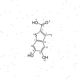 Cc1c(C(=O)O)sc2cc(O)c(O)cc12